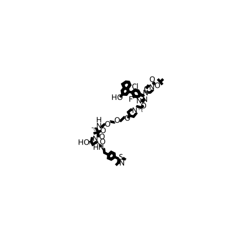 Cc1ncsc1-c1ccc(CCNC(=O)[C@@H]2C[C@@H](O)CN2C(=O)C(C)(C)[C@H](C)NC(=O)COCCOCCOC2CCN(C[C@@H](C)Oc3nc(N4CCN(C(=O)OC(C)(C)C)CC4)c4cc(Cl)c(-c5cc(O)cc6ccccc56)c(F)c4n3)CC2)cc1